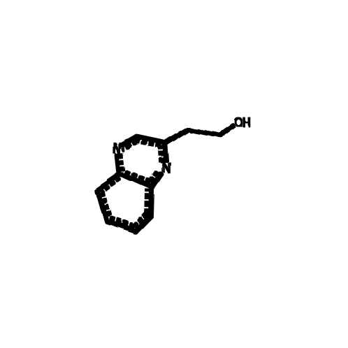 OCCc1cnc2ccccc2n1